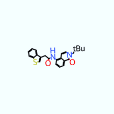 CC(C)(C)Cn1ccc2c(NC(=O)Cc3csc4ccccc34)cccc2c1=O